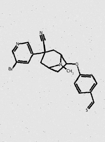 CN1C2CC(Oc3ccc(C=S)cc3)C1CC(C#N)(c1cncc(Br)c1)C2